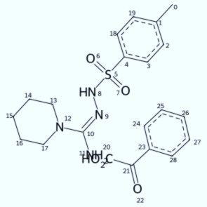 Cc1ccc(S(=O)(=O)NN=C(N)N2CCCCC2)cc1.O=C(O)C(=O)c1ccccc1